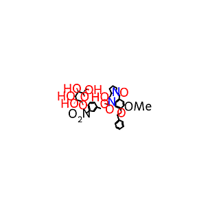 COc1cc2c(cc1OCc1ccccc1)N(C(=O)OCc1ccc(O[C@@H]3O[C@H](CO)[C@H](O)[C@H](O)[C@H]3O)c([N+](=O)[O-])c1)[C@@H](O)C1CCCN1C2=O